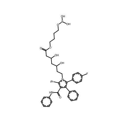 CC(C)c1c(C(=O)Nc2ccccc2)c(-c2ccccc2)c(-c2ccc(F)cc2)n1CCC(O)CC(O)CC(=O)OCCCCON(O)O